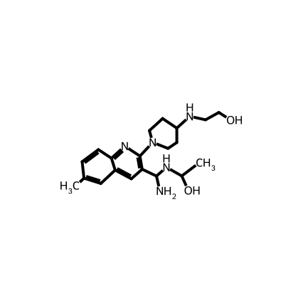 Cc1ccc2nc(N3CCC(NCCO)CC3)c(C(N)NC(C)O)cc2c1